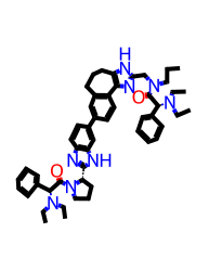 CCCN(Cc1nc2c([nH]1)CCCc1cc(-c3ccc4nc([C@@H]5CCCN5C(=O)[C@@H](c5ccccc5)N(CC)CC)[nH]c4c3)ccc1-2)C(=O)[C@@H](c1ccccc1)N(CC)CC